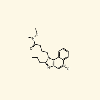 CCCc1nc2c[n+]([O-])c3ccccc3c2n1CCCC(=O)N(C)OC